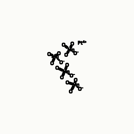 [O]=[Mn](=[O])(=[O])[O-].[O]=[Mn](=[O])(=[O])[O-].[O]=[Mn](=[O])(=[O])[O-].[O]=[Mn](=[O])(=[O])[O-].[Pt+4]